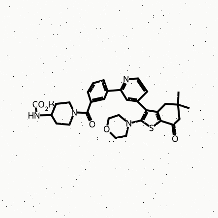 CC1(C)CC(=O)c2sc(N3CCOCC3)c(-c3ccnc(-c4cccc(C(=O)N5CCC(NC(=O)O)CC5)c4)c3)c2C1